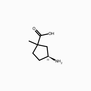 CC1(C(=O)O)CC[C@H](N)C1